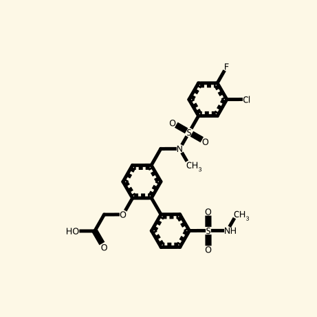 CNS(=O)(=O)c1cccc(-c2cc(CN(C)S(=O)(=O)c3ccc(F)c(Cl)c3)ccc2OCC(=O)O)c1